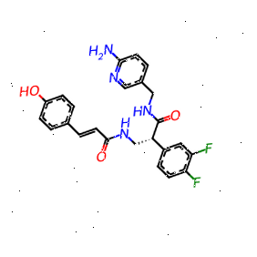 Nc1ccc(CNC(=O)[C@@H](CNC(=O)/C=C/c2ccc(O)cc2)c2ccc(F)c(F)c2)cn1